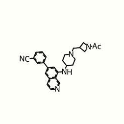 CC(=O)N1CC(CN2CCC(Nc3cc(-c4cccc(C#N)c4)cc4ccncc34)CC2)C1